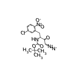 CC(C)(C)OC(=O)NC(Cc1cc(Cl)ccc1[N+](=O)[O-])C(=O)C=[N+]=[N-]